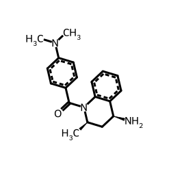 C[C@@H]1C[C@H](N)c2ccccc2N1C(=O)c1ccc(N(C)C)cc1